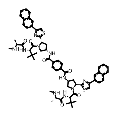 CN[C@@H](C)C(=O)N[C@H](C(=O)N1C[C@@H](NC(=O)c2ccc(C(=O)N[C@H]3C[C@@H](c4nc(-c5ccc6ccccc6c5)cs4)N(C(=O)[C@@H](NC(=O)[C@H](C)NC)C(C)(C)C)C3)cc2)C[C@H]1c1nc(-c2ccc3ccccc3c2)cs1)C(C)(C)C